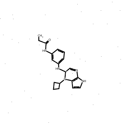 CCC(=O)Nc1cccc(NC2C=Nc3[nH]ccc3N2C2CCC2)c1